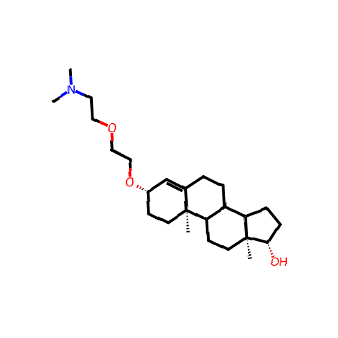 CN(C)CCOCCO[C@@H]1C=C2CCC3C(CC[C@@]4(C)C3CC[C@@H]4O)[C@@]2(C)CC1